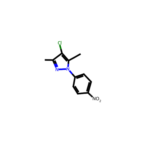 Cc1nn(-c2ccc([N+](=O)[O-])cc2)c(C)c1Cl